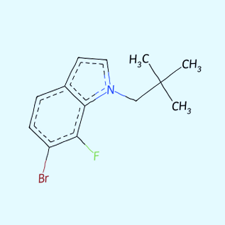 CC(C)(C)Cn1ccc2ccc(Br)c(F)c21